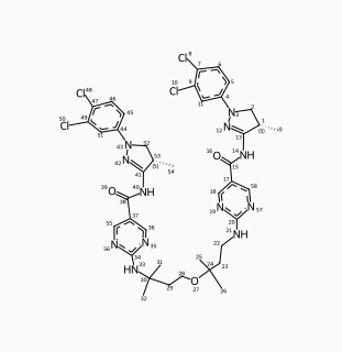 C[C@H]1CN(c2ccc(Cl)c(Cl)c2)N=C1NC(=O)c1cnc(NCCC(C)(C)OCCC(C)(C)Nc2ncc(C(=O)NC3=NN(c4ccc(Cl)c(Cl)c4)C[C@@H]3C)cn2)nc1